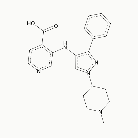 CN1CCC(n2cc(Nc3cnccc3C(=O)O)c(-c3ccccc3)n2)CC1